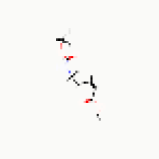 CCOC(=O)C=C(C)CC(C)(C)NC(=O)OC(C)(C)C